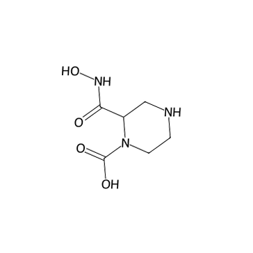 O=C(NO)C1CNCCN1C(=O)O